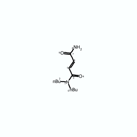 CCCCN(CCCC)C(=O)/C=C/C(N)=O